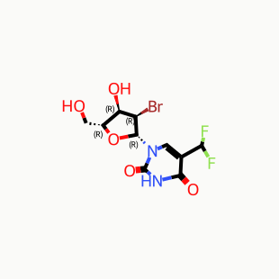 O=c1[nH]c(=O)n([C@@H]2O[C@H](CO)[C@@H](O)[C@H]2Br)cc1C(F)F